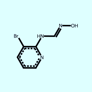 ON=CNc1ncccc1Br